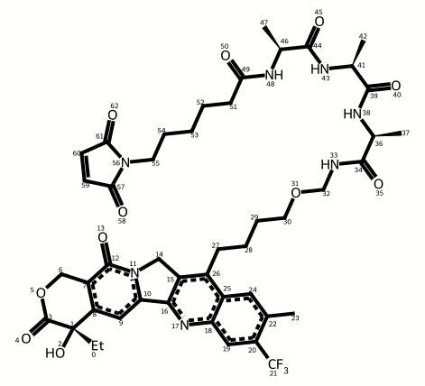 CC[C@@]1(O)C(=O)OCc2c1cc1n(c2=O)Cc2c-1nc1cc(C(F)(F)F)c(C)cc1c2CCCCOCNC(=O)[C@H](C)NC(=O)[C@H](C)NC(=O)[C@H](C)NC(=O)CCCCCN1C(=O)C=CC1=O